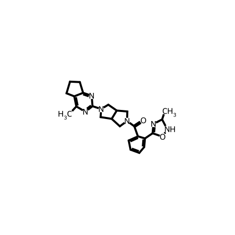 Cc1nc(N2CC3CN(C(=O)c4ccccc4C4=NC(C)NO4)CC3C2)nc2c1CCC2